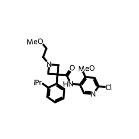 COCCN1CC(C(=O)Nc2cnc(Cl)cc2OC)(c2ccccc2C(C)C)C1